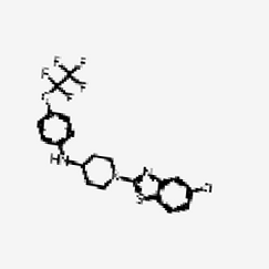 [O]c1ccc2sc(N3CCC(Nc4ccc(OC(F)(F)C(F)(F)F)cc4)CC3)nc2c1